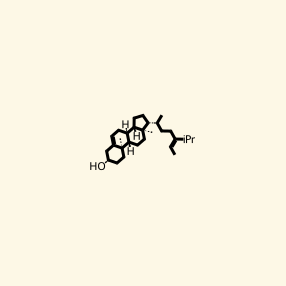 CC=C(CCC(C)[C@H]1CC[C@H]2[C@@H]3CC=C4C[C@@H](O)CC[C@]4(C)[C@H]3CC[C@]12C)C(C)C